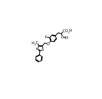 CCOC(Cc1ccc(OCc2sc(-c3ccccc3)nc2C)c(F)c1)C(=O)O